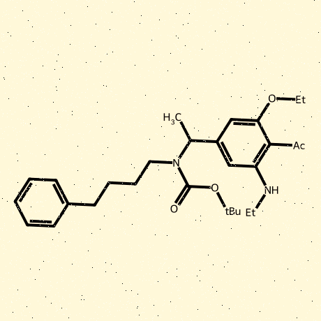 CCNc1cc(C(C)N(CCCCc2ccccc2)C(=O)OC(C)(C)C)cc(OCC)c1C(C)=O